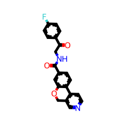 O=C(CNC(=O)c1ccc2c(c1)OCc1cnccc1-2)c1ccc(F)cc1